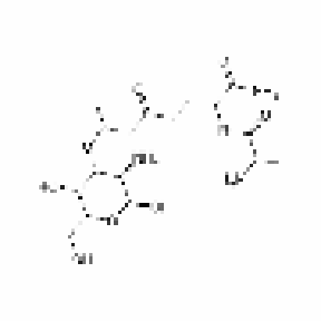 CC(CC(=O)CC[C@@H]([N]C(=O)[C@H](C)N)C(N)=O)O[C@@H]1[C@@H](N)[C@@H](O)O[C@H](CO)[C@H]1O